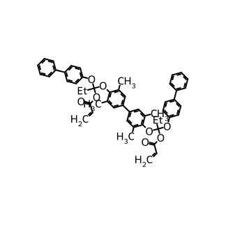 C=CC(=O)OC(CC)(Oc1ccc(-c2ccccc2)cc1)Oc1c(C)cc(-c2cc(C)c(OC(CC)(OC(=O)C=C)Oc3ccc(-c4ccccc4)cc3)c(C)c2)cc1C